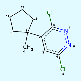 CC1(c2cc(Cl)nnc2Cl)CCCC1